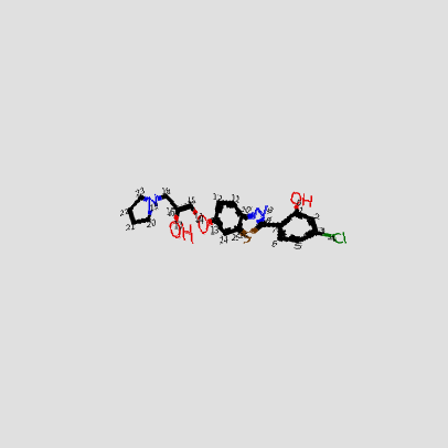 Oc1cc(Cl)ccc1-c1nc2ccc(OCC(O)CN3CCCC3)cc2s1